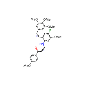 COc1ccc(C(=O)/C=C\Nc2cc(OC)c(F)cc2/C=C\c2cc(OC)c(OC)c(OC)c2)cc1